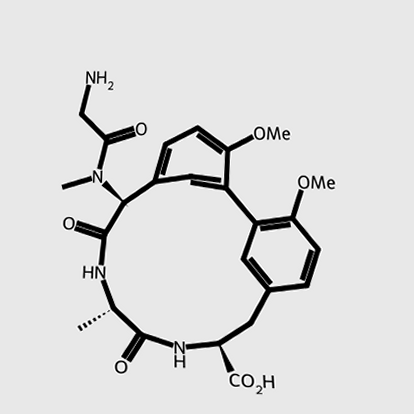 COc1ccc2cc1-c1cc(ccc1OC)[C@H](N(C)C(=O)CN)C(=O)N[C@@H](C)C(=O)N[C@H](C(=O)O)C2